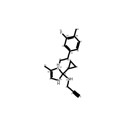 C#CCNC1(C2CC2)NC=C(C)[SH]1CCc1ccc(C)c(F)c1